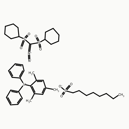 CCCCCCCCS(=O)(=O)[O-].Cc1cc(C)c([S+](c2ccccc2)c2ccccc2)c(C)c1.[N-]=[N+]=C(S(=O)(=O)C1CCCCC1)S(=O)(=O)C1CCCCC1